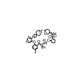 C=C1CCCN1S(=O)(=O)N[C@@H]1CC[C@@H](CN2CCC3(CC2)CN(c2ncncc2Oc2ccc(F)cc2C(=O)N(C(C)C)C(C)C)C3)OC1